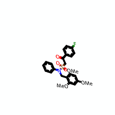 COc1cc(OC)c(CN(c2ccccc2)S(=O)(=O)CC(=O)c2ccc(F)cc2)c(OC)c1